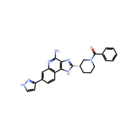 Nc1nc2cc(-c3cc[nH]n3)ccc2c2[nH]c([C@H]3CCCN(C(=O)c4ccccc4)C3)nc12